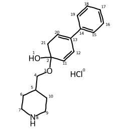 Cl.OC1(OCC2CCNCC2)C=CC(c2ccccc2)=CC1